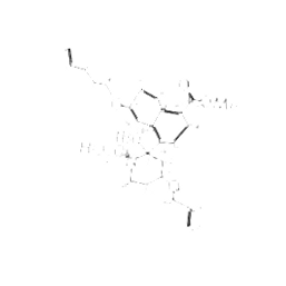 C=CCCCOc1ccc2c(C(=O)OC)ccc(C3(C(C)(C)C)CC(OCC=C)CCN3C(=O)O)c2c1